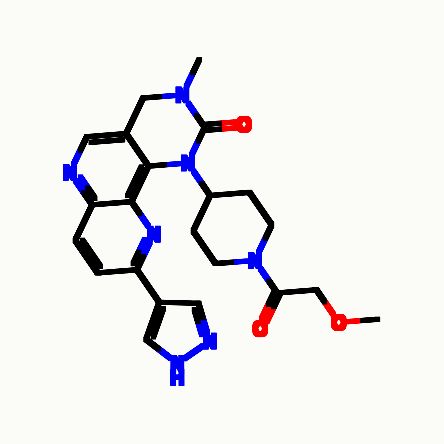 COCC(=O)N1CCC(N2C(=O)N(C)Cc3cnc4ccc(-c5cn[nH]c5)nc4c32)CC1